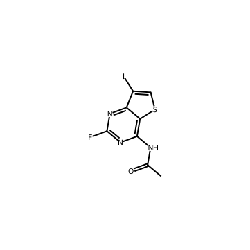 CC(=O)Nc1nc(F)nc2c(I)csc12